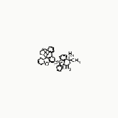 CC1(C)CCC(C)(C)c2c(N(c3ccccc3)c3cc4c(c(-c5ccccc5)c3)C3(c5ccccc5O4)C4CC5CC6CC3C64C5)cccc21